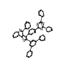 c1ccc(-c2cc(-c3ccccc3)cc(-c3sc4c(c(-c5ccccc5)nc5ccccc54)c3-c3ccc(-c4nc(-c5ccccc5)nc(-c5ccccc5)n4)cc3)c2)cc1